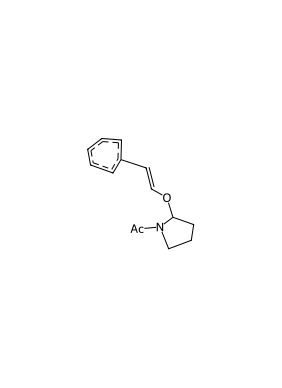 CC(=O)N1CCCC1OC=Cc1ccccc1